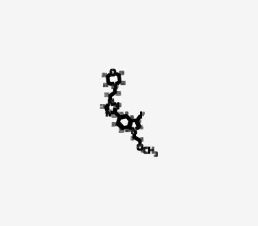 COCCn1cc(I)c2cc(-c3ncn(CCN4CCOCC4)n3)ccc21